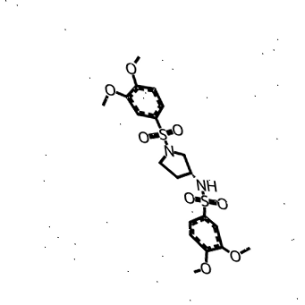 COc1ccc(S(=O)(=O)N[C@@H]2CCN(S(=O)(=O)c3ccc(OC)c(OC)c3)C2)cc1OC